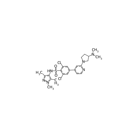 Cc1nn(C)c(C)c1NS(=O)(=O)c1c(Cl)cc(-c2ccnc(N3CCC(N(C)C)C3)c2)cc1Cl